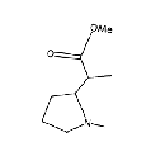 COC(=O)C(C)C1CCCN1C